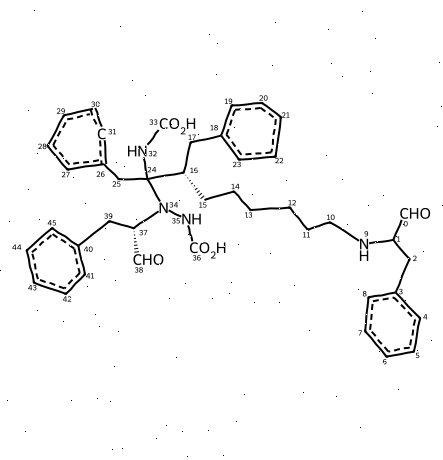 O=CC(Cc1ccccc1)NCCCCCC[C@@H](Cc1ccccc1)C(Cc1ccccc1)(NC(=O)O)N(NC(=O)O)[C@H](C=O)Cc1ccccc1